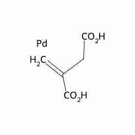 C=C(CC(=O)O)C(=O)O.[Pd]